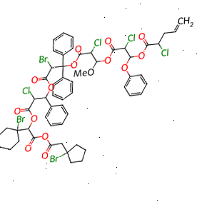 C=CCC(Cl)C(=O)OC(Oc1ccccc1)C(Cl)C(=O)OC(OC)C(Cl)C(=O)OC(c1ccccc1)(c1ccccc1)C(Br)C(=O)OC(c1ccccc1)C(Cl)C(=O)OC(C(=O)OC(=O)CC1(Br)CCCC1)C1(Br)CCCCC1